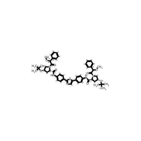 COC(C(=O)N1C[C@H](OC(C)(C)C)C[C@H]1C(=O)Nc1ccc(-c2cnc(-c3ccc(NC(=O)[C@@H]4C[C@@H](OC(C)(C)C)CN4C(=O)C(OC)c4ccccc4)cc3)o2)cc1)c1ccccc1